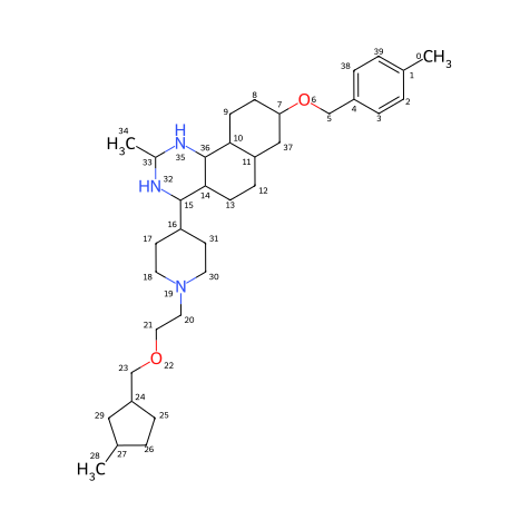 Cc1ccc(COC2CCC3C(CCC4C(C5CCN(CCOCC6CCC(C)C6)CC5)NC(C)NC34)C2)cc1